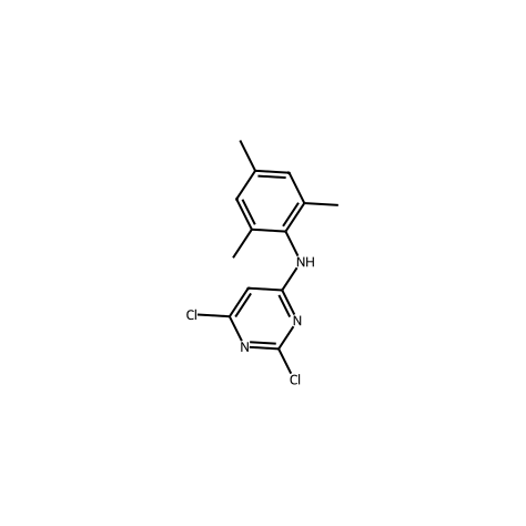 Cc1cc(C)c(Nc2cc(Cl)nc(Cl)n2)c(C)c1